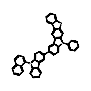 c1ccc(-n2c3ccc(-c4ccc5c(c4)c4ccccc4n5-c4cccc5ccccc45)cc3c3cc4c(cc32)sc2ccccc24)cc1